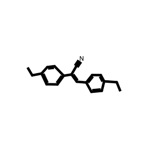 CCc1ccc(C=C(C#N)c2ccc(CC)cc2)cc1